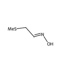 CSC[C]=NO